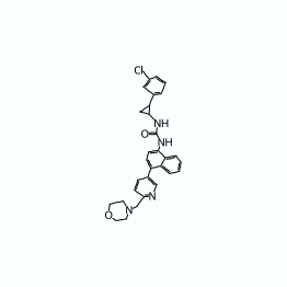 O=C(Nc1ccc(-c2ccc(CN3CCOCC3)nc2)c2ccccc12)NC1CC1c1cccc(Cl)c1